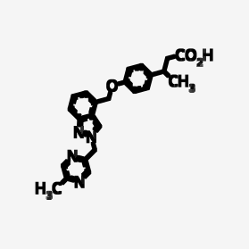 Cc1cnc(Cn2cc3c(COc4ccc(C(C)CC(=O)O)cc4)cccc3n2)cn1